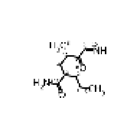 CCCC(C[C@H](C)C(=O)C=N)C(N)=O